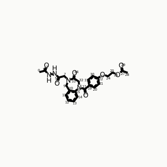 CC(=O)NNC(=O)CN1Cc2ccccc2N(C(=O)c2ccc(OCCOC(C)=O)cc2)CC1=O